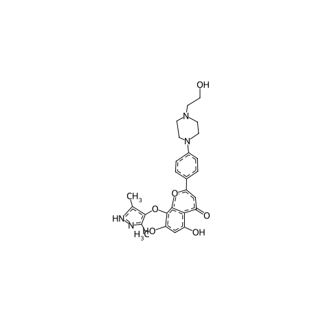 Cc1n[nH]c(C)c1Oc1c(O)cc(O)c2c(=O)cc(-c3ccc(N4CCN(CCO)CC4)cc3)oc12